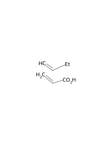 C=CC(=O)O.[CH]=CCC